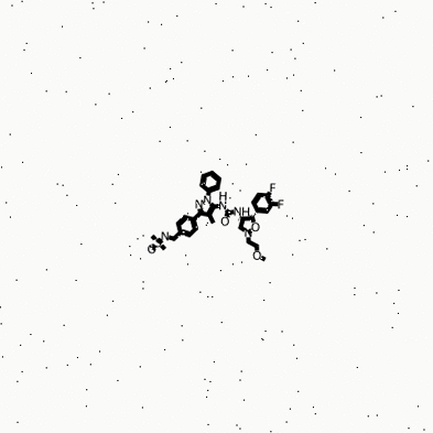 COCCN1C[C@@H](NC(=O)Nc2c(C)c(-c3ccc(CN=S(C)(C)=O)cc3)nn2-c2ccccc2)[C@H](c2ccc(F)c(F)c2)O1